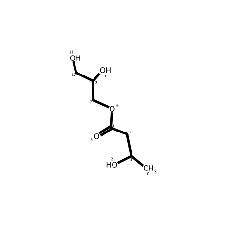 CC(O)CC(=O)OCC(O)CO